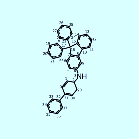 C1=CC(Nc2ccc3c(c2)-c2ccccc2C3(c2ccccc2)c2ccccc2)CC=C1c1ccccc1